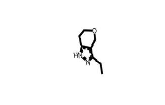 CCc1n[nH]c2c1COCC2